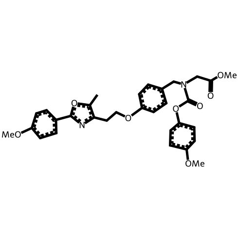 COC(=O)CN(Cc1ccc(OCCc2nc(-c3ccc(OC)cc3)oc2C)cc1)C(=O)Oc1ccc(OC)cc1